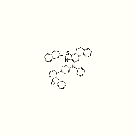 c1ccc(N(c2ccc(-c3cccc4oc5ccccc5c34)cc2)c2cc3c4ccccc4ccc3c3sc(-c4ccc5ccccc5c4)nc23)cc1